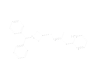 C/C(CC1N=CC=CN1)=N\OC1CN(C(c2ccccc2)c2ccccc2)C1